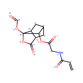 C=CC(=O)NCC(=O)OC1C2CC3C(=O)OC1(OC=O)C3C2